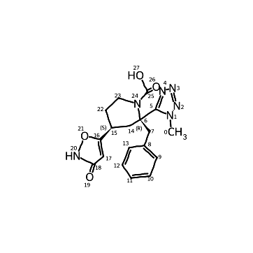 Cn1nnnc1[C@]1(Cc2ccccc2)C[C@@H](c2cc(=O)[nH]o2)CCN1C(=O)O